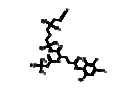 Cc1cc(C)c(NC(=O)CC[C@H](NC(=O)OC(C)(C)C)C(=O)NC(C)(C)COCC(C)(C)CN=[N+]=[N-])c(C)c1Br